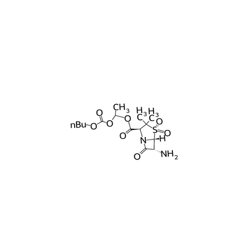 CCCCOC(=O)OC(C)OC(=O)[C@@H]1N2C(=O)[C@@H](N)[C@H]2S(=O)(=O)C1(C)C